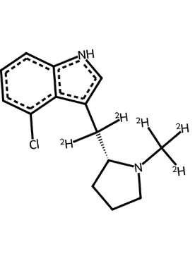 [2H]C([2H])(c1c[nH]c2cccc(Cl)c12)[C@H]1CCCN1C([2H])([2H])[2H]